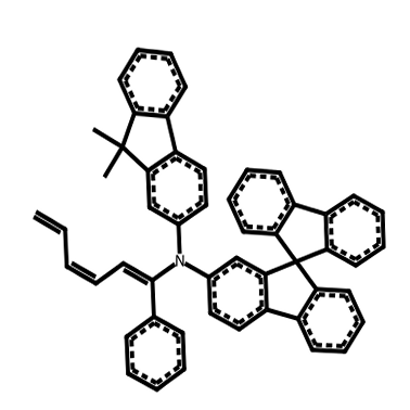 C=C/C=C\C=C(/c1ccccc1)N(c1ccc2c(c1)C(C)(C)c1ccccc1-2)c1ccc2c(c1)C1(c3ccccc3-c3ccccc31)c1ccccc1-2